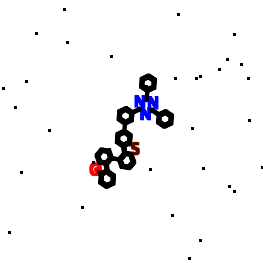 c1ccc(-c2nc(-c3ccccc3)nc(-c3cccc(-c4ccc5c(c4)sc4cccc(-c6cccc7oc8ccccc8c67)c45)c3)n2)cc1